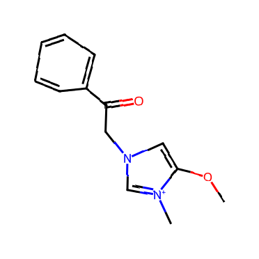 COc1cn(CC(=O)c2ccccc2)c[n+]1C